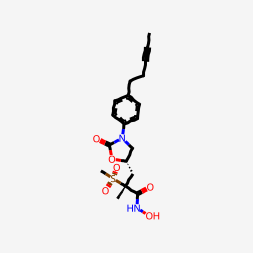 CC#CCCc1ccc(N2C[C@H](C[C@](C)(C(=O)NO)S(C)(=O)=O)OC2=O)cc1